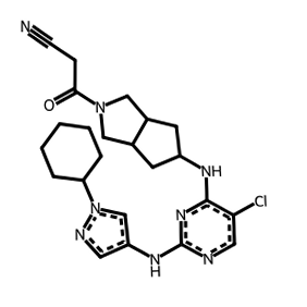 N#CCC(=O)N1CC2CC(Nc3nc(Nc4cnn(C5CCCCC5)c4)ncc3Cl)CC2C1